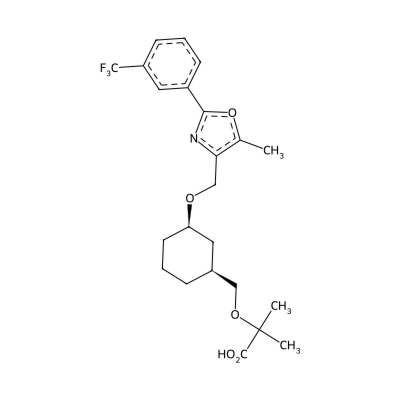 Cc1oc(-c2cccc(C(F)(F)F)c2)nc1CO[C@@H]1CCC[C@H](COC(C)(C)C(=O)O)C1